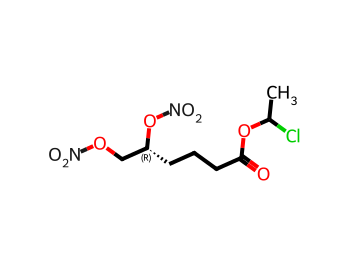 CC(Cl)OC(=O)CCC[C@H](CO[N+](=O)[O-])O[N+](=O)[O-]